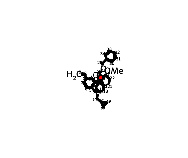 C=Cc1ccc2c3c1O[C@@H]1C34CCN(CC3CC3)C(C2)[C@]42CC[C@@]1(OC)[C@@H](COCc1ccccc1)C2